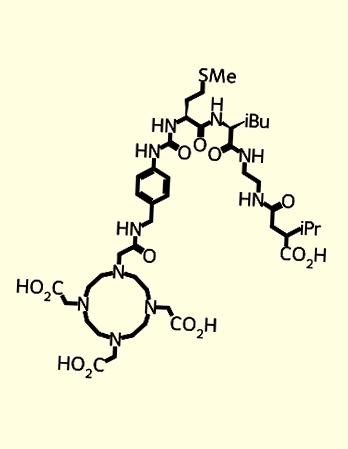 CC[C@H](C)[C@H](NC(=O)[C@H](CCSC)NC(=O)Nc1ccc(CNC(=O)CN2CCN(CC(=O)O)CCN(CC(=O)O)CCN(CC(=O)O)CC2)cc1)C(=O)NCCNC(=O)CC(C(=O)O)C(C)C